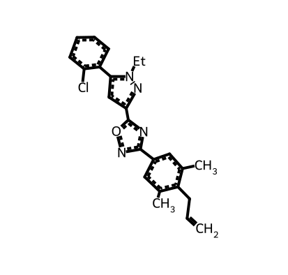 C=CCc1c(C)cc(-c2noc(-c3cc(-c4ccccc4Cl)n(CC)n3)n2)cc1C